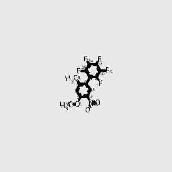 COc1cc(C)c(-c2c(F)c(F)c(F)c(F)c2F)cc1[N+](=O)[O-]